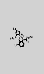 CCc1ccc(OCc2c(Cl)cccc2N(C)C(=O)NC)c(C)c1